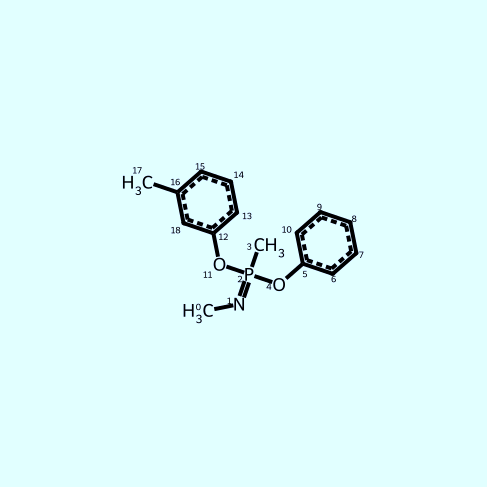 CN=P(C)(Oc1ccccc1)Oc1cccc(C)c1